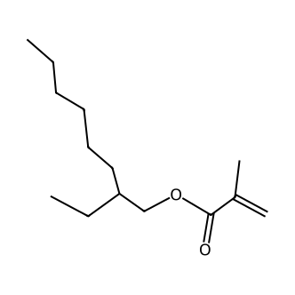 C=C(C)C(=O)OCC(CC)CCCCCC